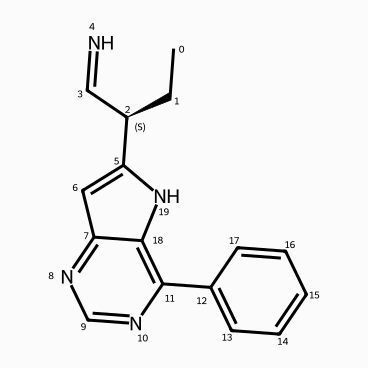 CC[C@H](C=N)c1cc2ncnc(-c3ccccc3)c2[nH]1